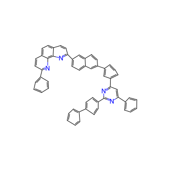 c1ccc(-c2ccc(-c3nc(-c4ccccc4)cc(-c4cccc(-c5ccc6cc(-c7ccc8ccc9ccc(-c%10ccccc%10)nc9c8n7)ccc6c5)c4)n3)cc2)cc1